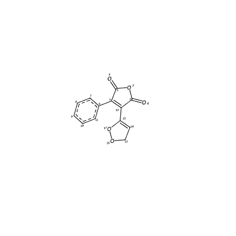 O=C1OC(=O)C(c2ccccc2)=C1C1=CCOO1